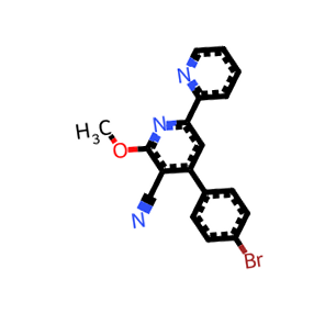 COc1nc(-c2ccccn2)cc(-c2ccc(Br)cc2)c1C#N